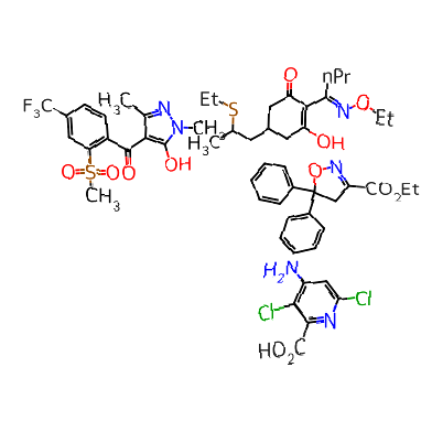 CCC/C(=N\OCC)C1=C(O)CC(CC(C)SCC)CC1=O.CCOC(=O)C1=NOC(c2ccccc2)(c2ccccc2)C1.Cc1nn(C)c(O)c1C(=O)c1ccc(C(F)(F)F)cc1S(C)(=O)=O.Nc1cc(Cl)nc(C(=O)O)c1Cl